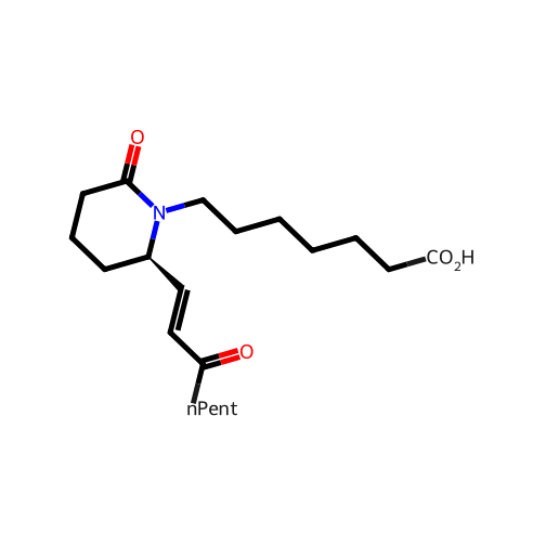 CCCCCC(=O)C=C[C@H]1CCCC(=O)N1CCCCCCC(=O)O